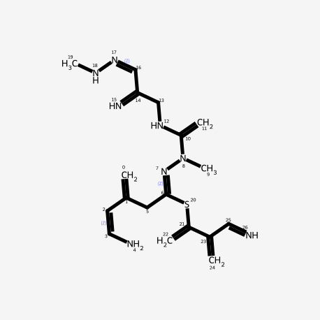 C=C(/C=C\N)C/C(=N/N(C)C(=C)NCC(=N)/C=N\NC)SC(=C)C(=C)C=N